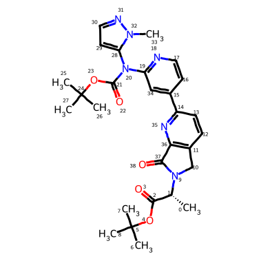 C[C@H](C(=O)OC(C)(C)C)N1Cc2ccc(-c3ccnc(N(C(=O)OC(C)(C)C)c4ccnn4C)c3)nc2C1=O